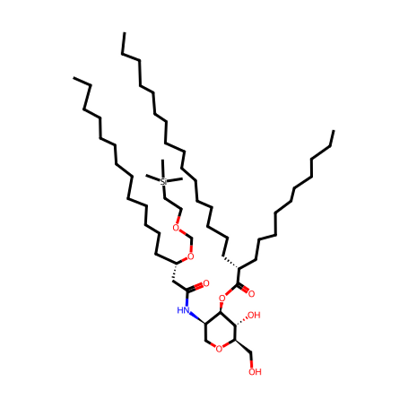 CCCCCCCCCCCCCCCC[C@H](CCCCCCCCCC)C(=O)O[C@H]1[C@H](O)[C@@H](CO)OC[C@H]1NC(=O)C[C@H](CCCCCCCCCCCCC)OCOCC[Si](C)(C)C